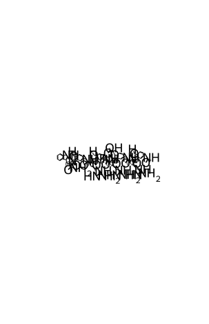 COc1ccc(NC(=O)[C@@H](CCCNC(=N)N)NC(=O)c2cc(NC(=O)[C@@H](CCCNC(=N)N)NC(=O)c3cc(NC(=O)[C@@H](CCCNC(=N)N)NC(=O)c4cc(NC(C)=O)ccc4OC)ccc3OCC(=O)O)ccc2OC)cc1C(=O)N[C@H](Cc1c[nH]c2ccccc12)C(N)=O